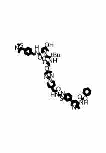 Cc1ncc(-c2ccc3nc(NC(=O)CC4CCN(c5ncc(OCC(=O)N[C@H](C(=O)N6C[C@H](O)C[C@H]6C(=O)NCc6ccc(-c7scnc7C)cc6)C(C)(C)C)cn5)CC4)sc3c2)cc1NC(=O)OC1CCCCC1